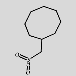 O=[SH](=O)CC1CCCCCCC1